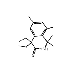 CCC1(CC)C(=O)NC(C)(C)c2c(C)cc(C)cc21